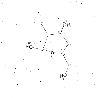 CC1C(O)CC(CO)OC1O